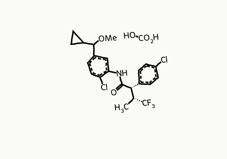 COC(c1ccc(Cl)c(NC(=O)[C@H](c2ccc(Cl)cc2)[C@@H](C)C(F)(F)F)c1)C1CC1.O=C(O)O